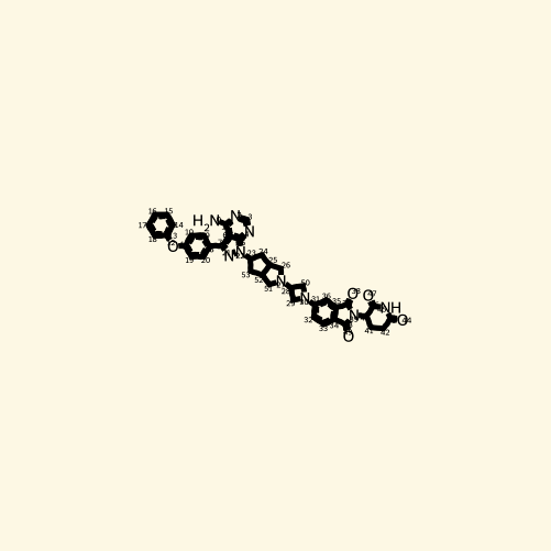 Nc1ncnc2c1c(-c1ccc(Oc3ccccc3)cc1)nn2C1CC2CN(C3CN(c4ccc5c(c4)C(=O)N(C4CCC(=O)NC4=O)C5=O)C3)CC2C1